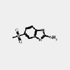 CS(=O)(=O)c1ccc2c(c1)N=C(N)[N]2